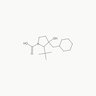 CC(C)(C)C1N(C(=O)O)CCC1(O)CC1CCCCC1